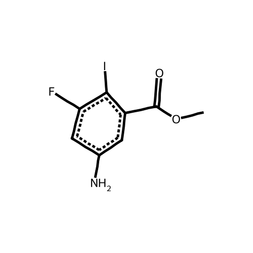 COC(=O)c1cc(N)cc(F)c1I